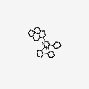 c1ccc(-c2cc(-c3ccc4ccc5cccc6ccc3c4c56)nc(-c3ccccc3-c3ccccc3)n2)cc1